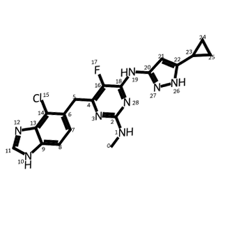 CNc1nc(Cc2ccc3[nH]cnc3c2Cl)c(F)c(Nc2cc(C3CC3)[nH]n2)n1